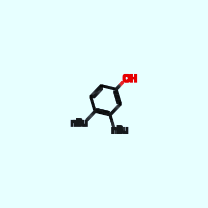 CCCCc1ccc(O)cc1CCCC